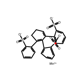 O=S(=O)([O-])c1ccccc1C1=CC[CH]C(c2ccccc2S(=O)(=O)[O-])=C1c1ccccc1S(=O)(=O)[O-].[Mn+3]